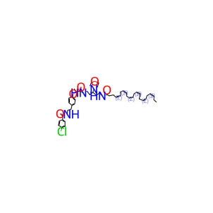 CC/C=C\C/C=C\C/C=C\C/C=C\C/C=C\C/C=C\CCC(=O)NCCC(CCNC(=O)C(C)(C)Oc1ccc(CCNC(=O)c2ccc(Cl)cc2)cc1)N1CCOCC1